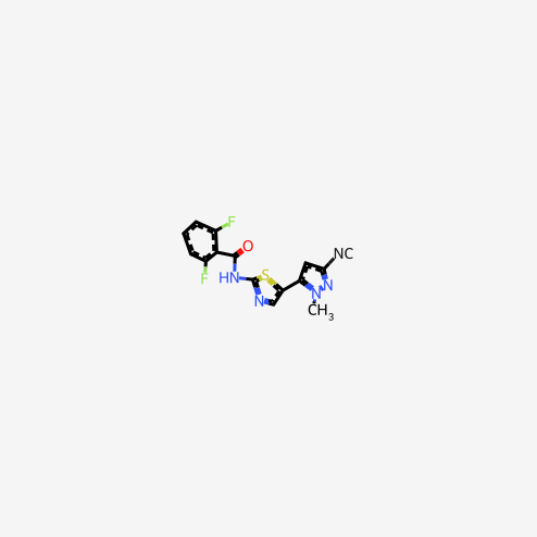 [C-]#[N+]c1cc(-c2cnc(NC(=O)c3c(F)cccc3F)s2)n(C)n1